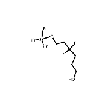 CC(C)[Si](OCCC(F)(F)CCCO)(C(C)C)C(C)C